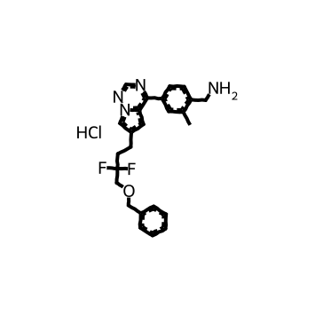 Cc1cc(-c2ncnn3cc(CCC(F)(F)COCc4ccccc4)cc23)ccc1CN.Cl